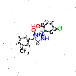 [O-][N+]1=C(c2cccc(C(F)(F)F)c2)CNN1c1cc(Cl)ccc1O